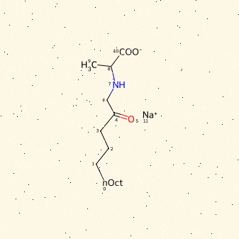 CCCCCCCCCCCC(=O)CNC(C)C(=O)[O-].[Na+]